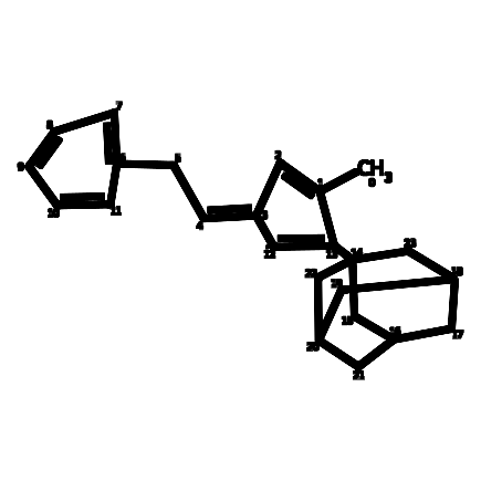 CC1=CC(=CCc2ccccc2)[C]=C1C12CC3CC(CC(C3)C1)C2